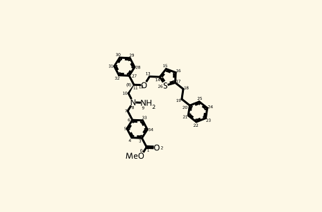 COC(=O)c1ccc(CN(N)C[C@H](OCc2ccc(CCc3ccccc3)s2)c2ccccc2)cc1